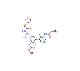 Cc1c(NC(=O)OC(C)(C)C)cncc1-c1cc2cc(NC(=O)O[C@H]3COC[C@@H]3C)ncc2c(NC(=O)OC(C)(C)C)c1F